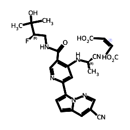 C[C@H](C#N)Nc1cc(-c2ccc3cc(C#N)cnn23)ncc1C(=O)NC[C@@H](F)C(C)(C)O.O=C(O)/C=C\C(=O)O